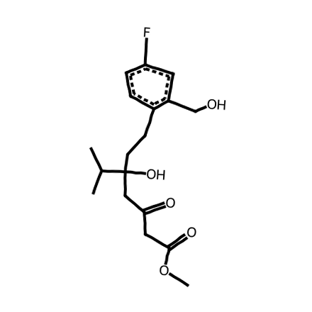 COC(=O)CC(=O)CC(O)(CCc1ccc(F)cc1CO)C(C)C